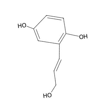 OC/C=C/c1cc(O)ccc1O